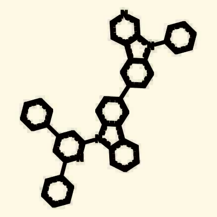 c1ccc(-c2cc(-c3ccccc3)nc(-n3c4ccccc4c4cc(-c5ccc6c(c5)c5ccncc5n6-c5ccccc5)ccc43)c2)cc1